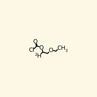 [2H]C(COCC)OC(=O)Cl